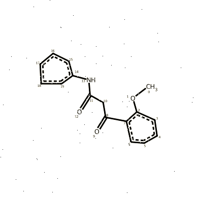 COc1ccccc1C(=O)CC(=O)Nc1ccccc1